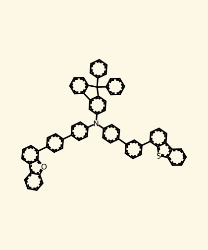 c1ccc(C2(c3ccccc3)c3ccccc3-c3cc(N(c4ccc(-c5ccc(-c6cccc7c6oc6ccccc67)cc5)cc4)c4ccc(-c5cccc(-c6cccc7c6sc6ccccc67)c5)cc4)ccc32)cc1